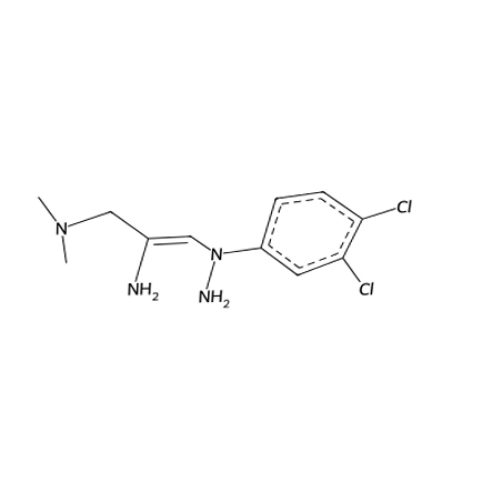 CN(C)C/C(N)=C/N(N)c1ccc(Cl)c(Cl)c1